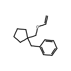 C=COCC1(Cc2ccccc2)CCCC1